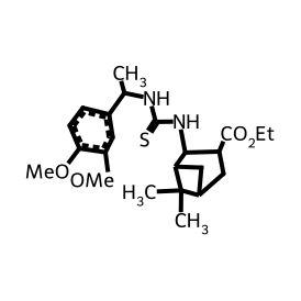 CCOC(=O)C1CC2CC(C1NC(=S)NC(C)c1ccc(OC)c(OC)c1)C2(C)C